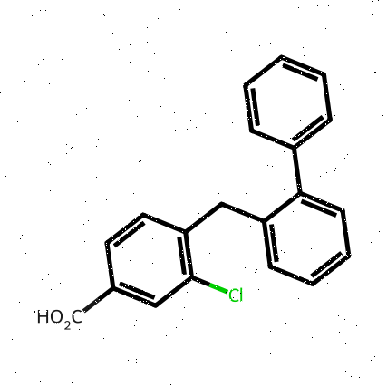 O=C(O)c1ccc(Cc2ccccc2-c2ccccc2)c(Cl)c1